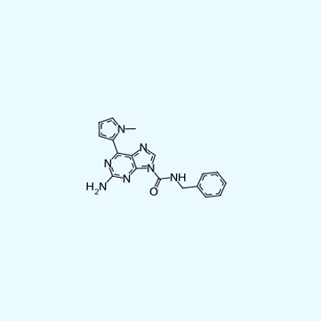 Cn1cccc1-c1nc(N)nc2c1ncn2C(=O)NCc1ccccc1